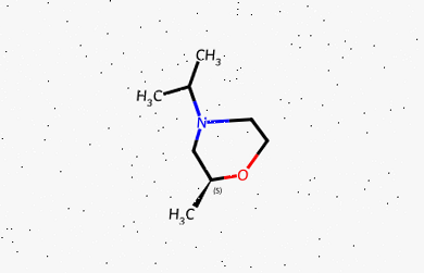 CC(C)N1CCO[C@@H](C)C1